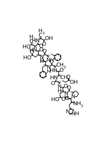 C[C@H](NC(=O)[C@@H](NC(=O)[C@H](CC(=O)O)NC(=O)[C@H](Cc1ccccc1)NC(=O)[C@H](Cc1ccccc1)NC(=O)[C@H](C)NC(=O)[C@H](C)NC(=O)[C@H](CCC(=O)O)NC(=O)[C@H](CC(=O)O)NC(=O)[C@@H]1CCCN1C(=O)[C@@H](N)Cc1c[nH]cn1)[C@@H](C)O)C(=O)O